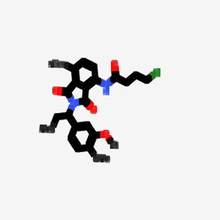 CCCCCCc1ccc(NC(=O)CCCCl)c2c1C(=O)N(C(CSC)c1ccc(OC)c(OCC)c1)C2=O